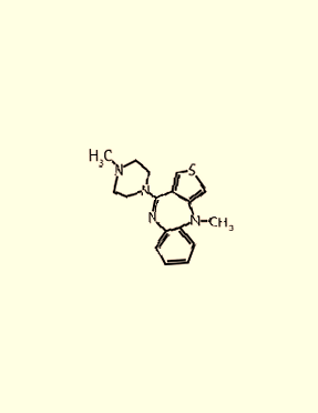 CN1CCN(C2=Nc3ccccc3N(C)c3cscc32)CC1